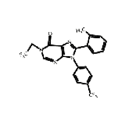 Cc1ccccc1-c1nc2c(=O)n(CC(F)(F)F)cnc2n1-c1ccc(C(F)(F)F)cc1